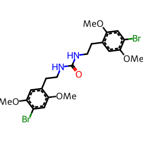 COc1cc(CCNC(=O)NCCc2cc(OC)c(Br)cc2OC)c(OC)cc1Br